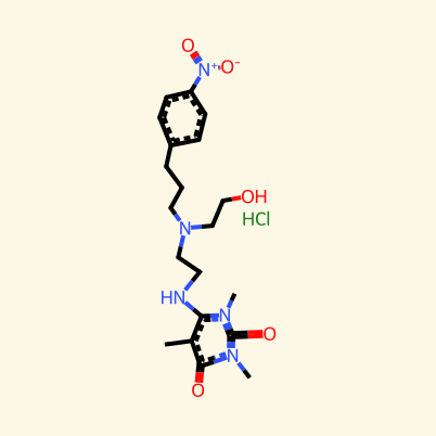 Cc1c(NCCN(CCO)CCCc2ccc([N+](=O)[O-])cc2)n(C)c(=O)n(C)c1=O.Cl